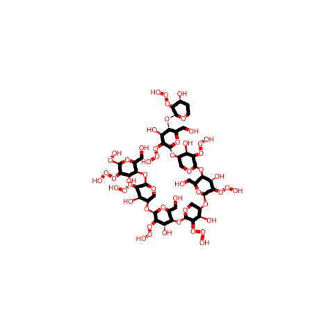 OCC1O[C@H](O[C@@H]2CO[C@H](O[C@@H]3C(CO)O[C@H](O[C@@H]4CO[C@H](O[C@@H]5C(CO)O[C@H](O[C@@H]6CO[C@H](O[C@@H]7C(CO)O[C@H](OO)C(OOO)[C@H]7O)C(OOO)[C@@H]6O)C(OOO)[C@H]5O)C(OOO)[C@@H]4O)C(OOO)[C@H]3O)C(OOO)[C@@H]2O)C(OOO)[C@@H](O)[C@@H]1O[C@H]1OCC[C@@H](O)C1OOO